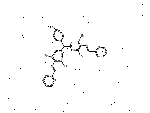 CC(C)c1cc(C(c2ccc(O)cc2)c2cc(C(C)C)c(N=Cc3ccccn3)c(C(C)C)c2)cc(C(C)C)c1N=Cc1ccccn1